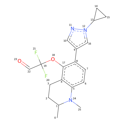 CC1CCc2c(ccc(-c3cnn(C4CC4)c3)c2OC(F)(F)C=O)N1C